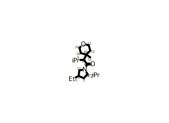 CCC1C[C@@H](C(C)C)N(C(=O)C(C(C)C)C2(C)CCOCC2)C1